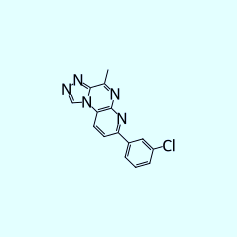 Cc1nc2nc(-c3cccc(Cl)c3)ccc2n2cnnc12